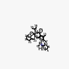 C/N=C1\NCCN1Cc1sc2c(c1C)c(=O)n(C(C)C)c(=O)n2CC1CCCO1